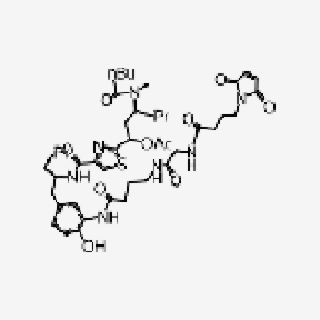 CCCCC(=O)N(C)C(CC(OC(C)=O)c1nc(C(=O)NC(Cc2ccc(O)c(NC(=O)CCCNC(=O)CNC(=O)CCCN3C(=O)C=CC3=O)c2)CC(C)C)cs1)C(C)C